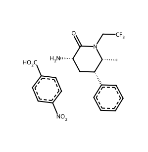 C[C@@H]1[C@H](c2ccccc2)C[C@H](N)C(=O)N1CC(F)(F)F.O=C(O)c1ccc([N+](=O)[O-])cc1